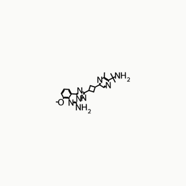 COc1cccc2c1nc(N)n1nc(C3CC(c4cnc(C(C)(C)N)c(C)n4)C3)nc21